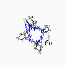 [Cu][I].c1ccc2c(c1)-c1nc-2nc2[nH]c(nc3nc(nc4[nH]c(n1)c1ccccc41)-c1ccccc1-3)c1ccccc21